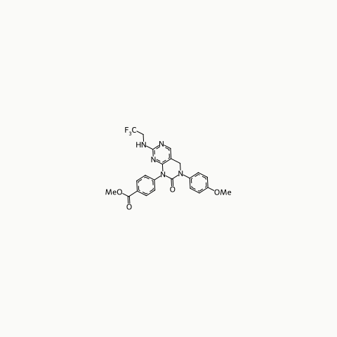 COC(=O)c1ccc(N2C(=O)N(c3ccc(OC)cc3)Cc3cnc(NCC(F)(F)F)nc32)cc1